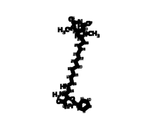 CCCC(=O)C(OCc1ccccc1)C(N)CNCCCCCCCCCCCc1nc2c(c(=O)[nH]c(=O)n2C)n1C